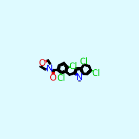 Cn1c(Cc2c(Cl)ccc(C(=O)N3CCOCC3)c2Cl)cc2c1C=C(Cl)CC2Cl